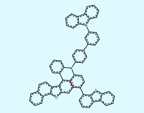 c1cc(-c2ccc(N(c3ccc(-c4cccc5c4sc4ccccc45)cc3)c3ccccc3-c3cccc4oc5c6ccccc6ccc5c34)cc2)cc(-n2c3ccccc3c3ccccc32)c1